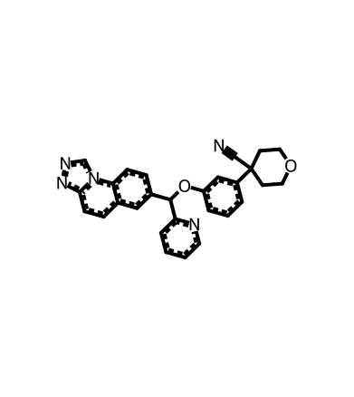 N#CC1(c2cccc(OC(c3ccc4c(ccc5nncn54)c3)c3ccccn3)c2)CCOCC1